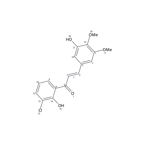 COc1cc(/C=C/C(=O)c2cccc(Cl)c2O)cc(O)c1OC